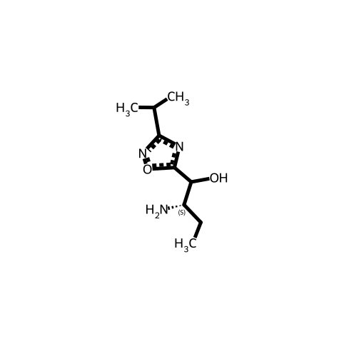 CC[C@H](N)C(O)c1nc(C(C)C)no1